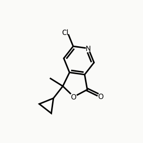 CC1(C2CC2)OC(=O)c2cnc(Cl)cc21